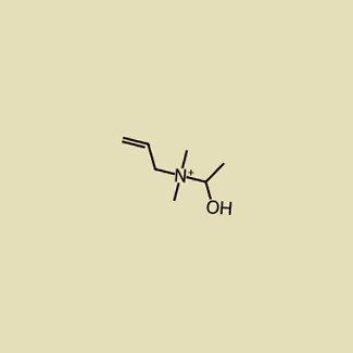 C=CC[N+](C)(C)C(C)O